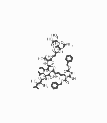 CCC(C)[C@@H](C(=O)N[C@H](C(=O)NCC(=O)N[C@@H](CC(N)=O)C(=O)N[C@@H](CO)C(=O)O)[C@H](C)O)N(C(=O)[C@H](N)CCCN(C(=N)NC(=O)OCc1ccccc1)C(=O)OCc1ccccc1)C(=O)[C@H](CC(C)C)NC(=O)[C@@H](N)[C@H](O)C(C)C